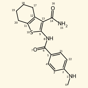 CNc1ccc(C(=O)Nc2sc3c(c2C(N)=O)CCCC3)cc1